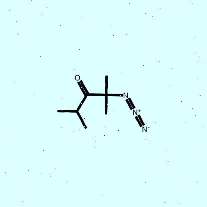 CC(C)C(=O)C(C)(C)N=[N+]=[N-]